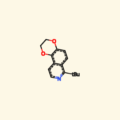 CC(C)(C)c1nccc2c3c(ccc12)OCCO3